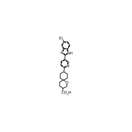 CCc1ccc2[nH]c(-c3ccc(N4CCC5(CCC(C(=O)O)CO5)CC4)nc3)nc2c1